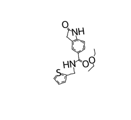 CCOCC.O=C1Cc2cc(C(=O)NCc3cccs3)ccc2N1